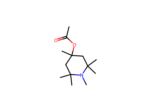 CC(=O)OC1(C)CC(C)(C)N(C)C(C)(C)C1